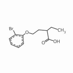 CCC(CCOc1ccccc1Br)C(=O)O